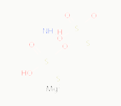 N.O=S([O-])(O)=S.O=S([O-])(O)=S.[Mg+2]